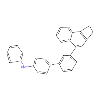 c1ccc(Nc2ccc(-c3cccc(-c4cc5c(c6ccccc46)CC5)c3)cc2)cc1